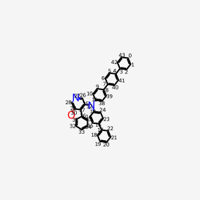 c1ccc(-c2ccc(-c3ccc(N(c4ccc(-c5ccccc5)cc4)c4cncc5oc6ccccc6c45)cc3)cc2)cc1